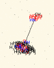 CCCCN(C(=O)OC(C)(C)C)C(NC(=O)OC(C)(C)C)(C(CCCCCCNC(=O)CCCCCCCCCCCCCCCCCCCCCCCNC(=O)[C@H](O)[C@@H](O)[C@H](O)[C@@H](C)O)CN(CCCC(NC(=O)OC(C)(C)C)N(CCC)C(=O)OC(C)(C)C)C(=O)OC(C)(C)C)N(CCC)C(=O)OC(C)(C)C